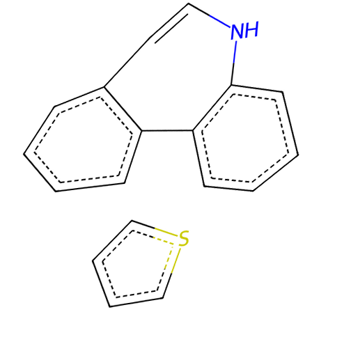 C1=Cc2ccccc2-c2ccccc2N1.c1ccsc1